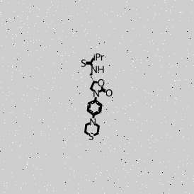 CC(C)C(=S)NC[C@H]1CN(c2ccc(N3CCSCC3)cc2)C(=O)O1